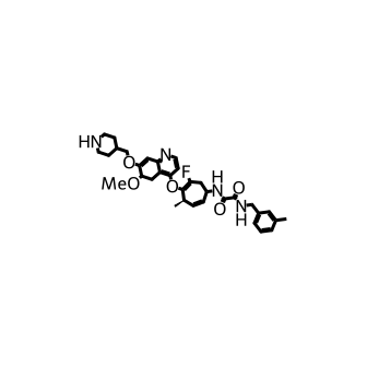 COC1Cc2c(OC3=C(F)CC(NC(=O)C(=O)NCc4cccc(C)c4)C=C[C@H]3C)ccnc2C=C1OCC1CCNCC1